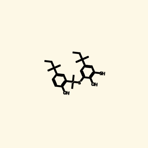 CCC(C)(C)c1cc(S)c(O)c(SS(C)(C)c2cc(C(C)(C)CC)ccc2O)c1